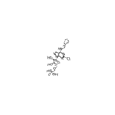 O=P(O)(O)COC[C@H]1O[C@@H](n2ncc3c(NC[C@H]4CCCO4)nc(Cl)nc32)[C@H](O)[C@@H]1O